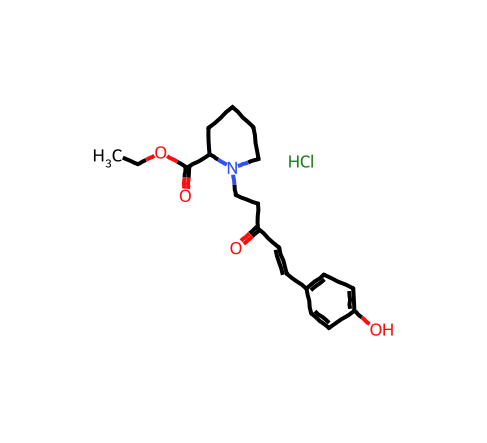 CCOC(=O)C1CCCCN1CCC(=O)C=Cc1ccc(O)cc1.Cl